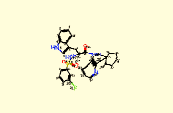 C[C@@](Cc1c[nH]c2ccccc12)(NS(=O)(=O)c1cccc(F)c1)C(=O)NCC1(c2ccccn2)CCCCC1